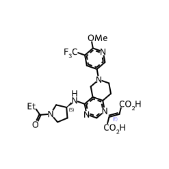 CCC(=O)N1CC[C@H](Nc2ncnc3c2CN(c2cnc(OC)c(C(F)(F)F)c2)CC3)C1.O=C(O)/C=C/C(=O)O